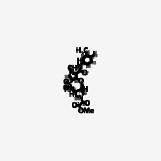 COC(=O)C(=O)N1C[C@H]2COc3c(cn(C)c3C(=O)Nc3ccc(F)c(C)c3)S(=O)(=O)N[C@H]2C1